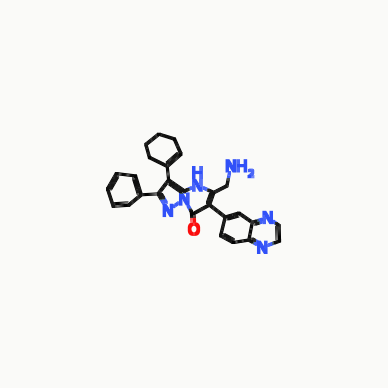 NCc1[nH]c2c(C3=CCCCC3)c(-c3ccccc3)nn2c(=O)c1-c1ccc2nccnc2c1